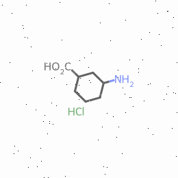 Cl.NC1CCCC(C(=O)O)C1